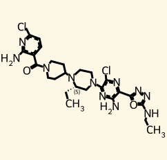 CCNc1nnc(-c2nc(Cl)c(N3CCN(C4CCN(C(=O)c5ccc(Cl)nc5N)CC4)[C@@H](CC)C3)nc2N)o1